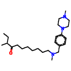 CCC(C)C(=O)CCCCCCCN(C)Cc1ccc(N2CCN(C)CC2)cc1